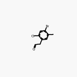 Cc1cc(CC=O)c(Cl)cc1Br